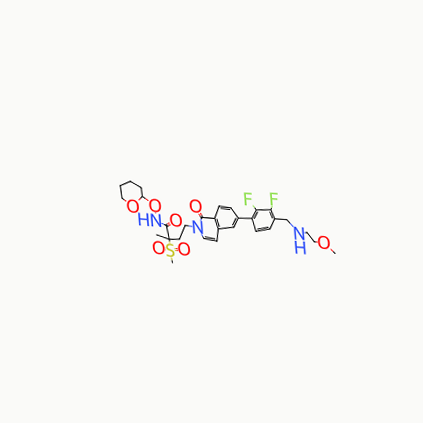 COCCNCc1ccc(-c2ccc3c(=O)n(CCC(C)(C(=O)NOC4CCCCO4)S(C)(=O)=O)ccc3c2)c(F)c1F